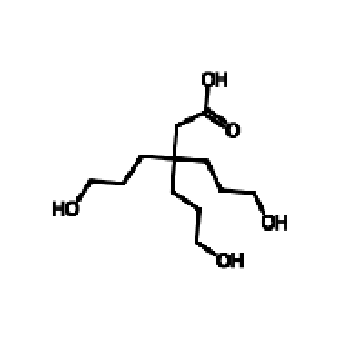 O=C(O)CC(CCCO)(CCCO)CCCO